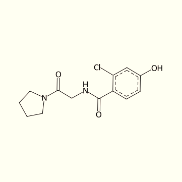 O=C(NCC(=O)N1CCCC1)c1ccc(O)cc1Cl